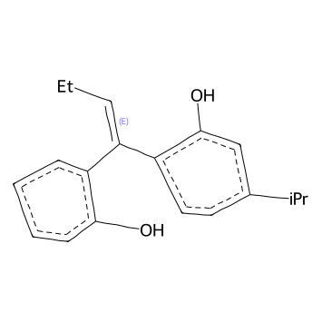 CC/C=C(\c1ccccc1O)c1ccc(C(C)C)cc1O